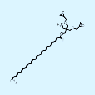 CCCCCCCCCCCCCCCCCCCCC(=O)OCC(CC)(COCC1CO1)COCC1CO1